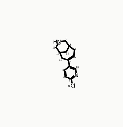 Clc1ccc(C2=CCC3CNCC(C2)C3)cn1